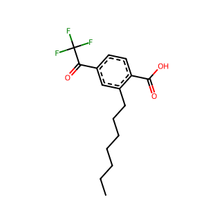 CCCCCCCc1cc(C(=O)C(F)(F)F)ccc1C(=O)O